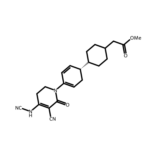 COC(=O)CC1CCC([C@H]2C=CC(N3CCC(NC#N)=C(C#N)C3=O)=CC2)CC1